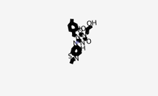 Cc1nc2ccc(/N=c3\[nH]c(=O)n(C[C@H](O)CO)c(=O)n3CC3CCC(C)CC3)cc2s1